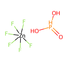 O=[PH](O)O.[F][Zn]([F])([F])([F])([F])[F]